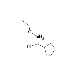 [CH2]CO[SiH2]C(Cl)C1CCCC1